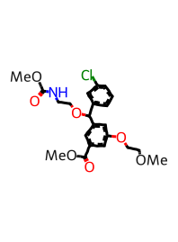 COCCOc1cc(C(=O)OC)cc(C(OCCNC(=O)OC)c2cccc(Cl)c2)c1